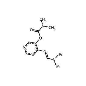 CC(C)N(C=Nc1ccncc1OC(=O)N(C)C)C(C)C